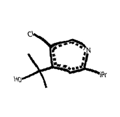 CC(C)c1cc(C(C)(C)O)c(Cl)cn1